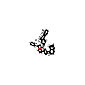 CC1(C)c2ccccc2-c2ccc(N(c3ccc4c(c3)oc3ccccc34)c3cc4c(cc3-c3ccccc3)oc3ccc5ccccc5c34)cc21